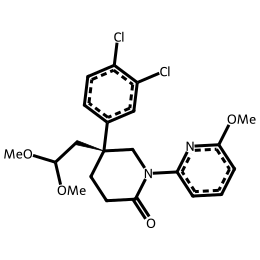 COc1cccc(N2C[C@@](CC(OC)OC)(c3ccc(Cl)c(Cl)c3)CCC2=O)n1